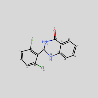 O=C1NC(c2c(F)cccc2Cl)Nc2ccccc21